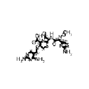 CON=C(C(=O)NC1C(=O)N2C(C(=O)O)=C(SCc3cnc(N)nc3N)CSC12)c1csc(N)n1